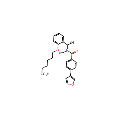 [2H]C(c1ccccc1OCCCCCC(=O)O)N(C(=O)c1ccc(-c2ccoc2)cc1)C(C)C